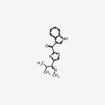 C/N=C(/c1csc(C(=O)c2c[nH]c3ccccc23)n1)C(C)C